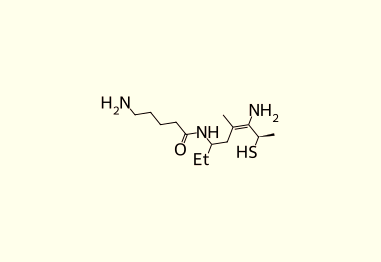 CCC(C/C(C)=C(/N)[C@@H](C)S)NC(=O)CCCCN